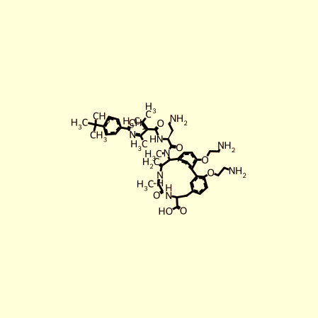 C=C(/N=C(/C)C(C(=O)N[C@@H](CCN)C(=O)N(C)C1C(=C)N[C@@H](C)C(=O)NC(C(=O)O)Cc2ccc(OCCN)c(c2)-c2cc1ccc2OCCN)=C(C)C)c1ccc(C(C)(C)C)cc1